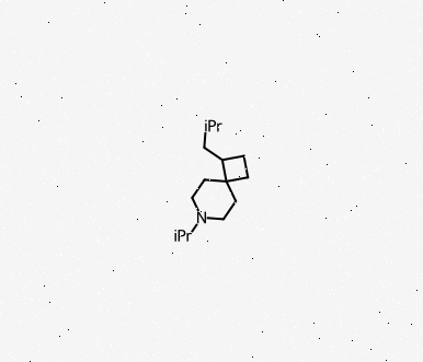 CC(C)CC1CCC12CCN(C(C)C)CC2